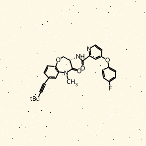 CN1C(=O)[C@@H](NC(=O)c2cc(Oc3ccc(F)cc3)ccn2)COc2ccc(C#CC(C)(C)C)cc21